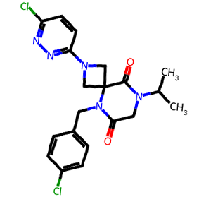 CC(C)N1CC(=O)N(Cc2ccc(Cl)cc2)C2(CN(c3ccc(Cl)nn3)C2)C1=O